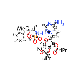 COC(=O)C(C)NP(=O)(OCc1ccccc1)OC[C@@]1(C#N)O[C@@H](c2ccc3c(N)ncnn23)[C@H](OC(=O)C(C)C)[C@@H]1OC(=O)C(C)C